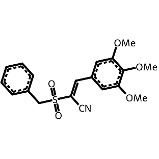 COc1cc(C=C(C#N)S(=O)(=O)Cc2ccccc2)cc(OC)c1OC